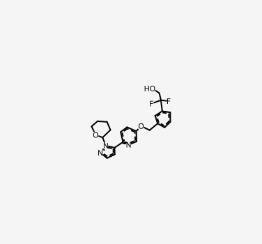 OCC(F)(F)c1cccc(COc2ccc(-c3ccnn3C3CCCCO3)nc2)c1